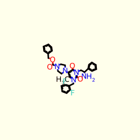 Cc1c(N2CCN(C(=O)OCc3ccccc3)CC2)c(=O)n(CC(N)c2ccccc2)c(=O)n1Cc1c(F)cccc1F